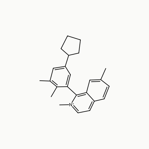 Cc1ccc2cc[n+](C)c(-c3cc(C4CCCC4)cc(C)c3C)c2c1